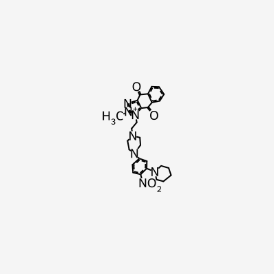 C[n+]1nc2c(n1CCN1CCN(c3ccc([N+](=O)[O-])c(N4CCCCC4)c3)CC1)C(=O)c1ccccc1C2=O